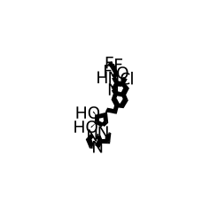 O=C(Nc1nc2cc(CC[C@H]3CC(n4ccc5nccnc54)[C@H](O)[C@@H]3O)ccc2cc1Cl)C(F)(F)F